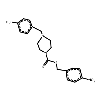 Cc1ccc(CN2CCN(C(=S)SCc3ccc([N+](=O)[O-])cc3)CC2)cc1